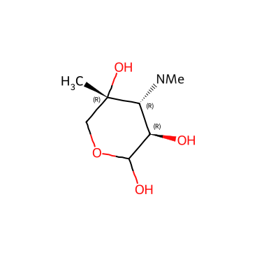 CN[C@@H]1[C@@H](O)C(O)OC[C@]1(C)O